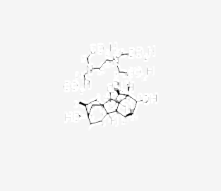 C=C1C[C@]23C[C@@]1(O)CC[C@H]2[C@@]12C=C[C@H](O)[C@@](C)(C(=O)O1)[C@H]2[C@@H]3C(=O)O.O=C(O)CN(CCN(CC(=O)O)CC(=O)O)CC(=O)O